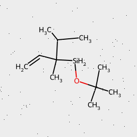 C=CC(C)([SiH2]OC(C)(C)C)C(C)C